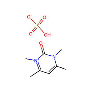 Cc1cc(C)[n+](C)c(=O)n1C.O=S(=O)([O-])O